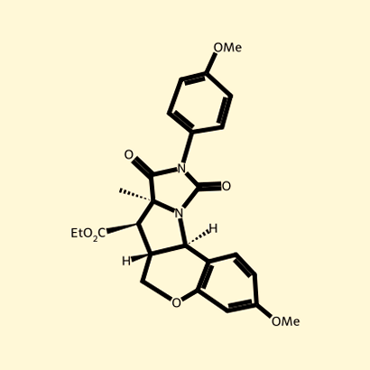 CCOC(=O)[C@@H]1[C@H]2COc3cc(OC)ccc3[C@@H]2N2C(=O)N(c3ccc(OC)cc3)C(=O)[C@]12C